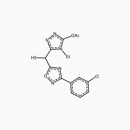 CCn1c(OC(C)=O)nnc1C(S)c1nc(-c2cccc(Cl)c2)no1